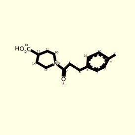 Cc1ccc(CCC(=O)N2CCC(C(=O)O)CC2)cc1